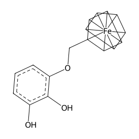 Oc1cccc(OC[C]23[CH]4[CH]5[CH]6[CH]2[Fe]56432789[CH]3[CH]2[CH]7[CH]8[CH]39)c1O